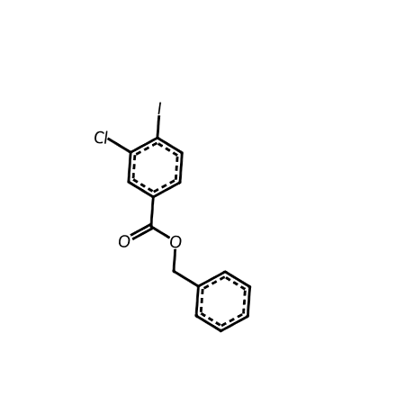 O=C(OCc1ccccc1)c1ccc(I)c(Cl)c1